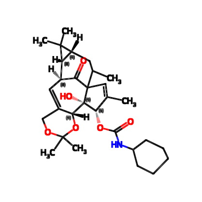 CC1=CC23C(=O)[C@@H](C=C4COC(C)(C)O[C@H]4[C@]2(O)[C@H]1OC(=O)NC1CCCCC1)[C@H]1[C@@H](CC3C)C1(C)C